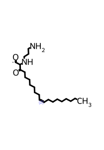 CCCCCCCC/C=C\CCCCCCCC(=O)C([C]=O)NCCCN